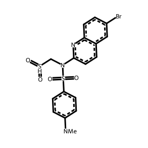 CNc1ccc(S(=O)(=O)N(C[SH](=O)=O)c2ccc3cc(Br)ccc3n2)cc1